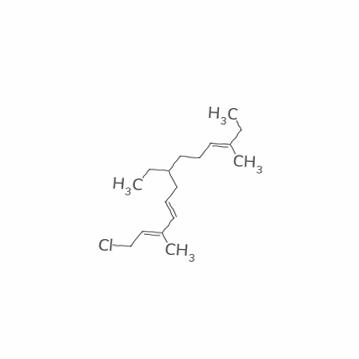 CCC(C)=CCCC(CC)CC=CC(C)=CCCl